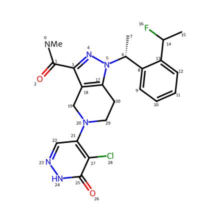 CNC(=O)c1nn([C@H](C)c2ccccc2C(C)F)c2c1CN(c1cn[nH]c(=O)c1Cl)CC2